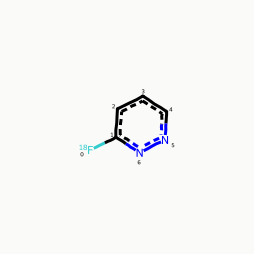 [18F]c1cccnn1